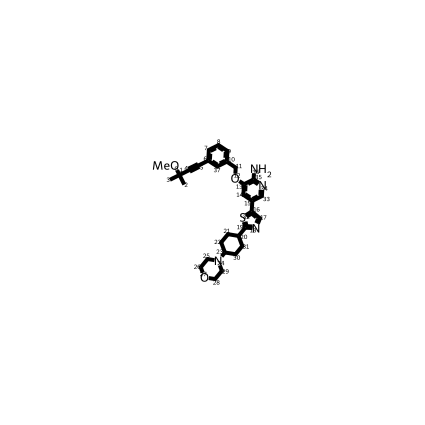 COC(C)(C)C#Cc1cccc(COc2cc(-c3cnc(C4CCC(N5CCOCC5)CC4)s3)cnc2N)c1